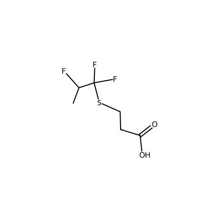 CC(F)C(F)(F)SCCC(=O)O